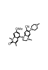 COc1cc(N2CCN(C)c3cc(N4CCN(C)CC4)c(C#N)cc32)c2cc(C)c(=O)n(C)c2c1